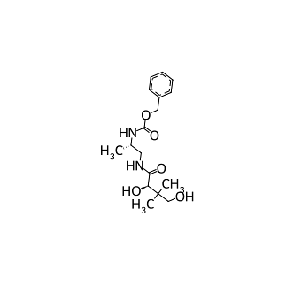 C[C@@H](CNC(=O)[C@H](O)C(C)(C)CO)NC(=O)OCc1ccccc1